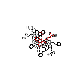 NC(=O)CC(CCc1ccccc1)C(=O)CN(CCC(=O)O)C(=O)CN(CCc1ccccc1)C(=O)CN(CCC(=O)O)C(=O)CN(CCc1ccccc1)C(=O)CN(CCC(=O)O)C(=O)CN(CCc1ccccc1)C(=O)CN(CCC(=O)O)C(=O)CN(CCc1ccccc1)C(=O)CN(CCC(=O)O)C(=O)CN(CCc1ccccc1)C(=O)CNCCC(=O)O